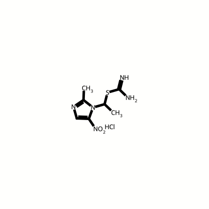 Cc1ncc([N+](=O)[O-])n1C(C)SC(=N)N.Cl